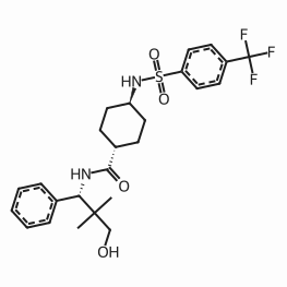 CC(C)(CO)[C@@H](NC(=O)[C@H]1CC[C@H](NS(=O)(=O)c2ccc(C(F)(F)F)cc2)CC1)c1ccccc1